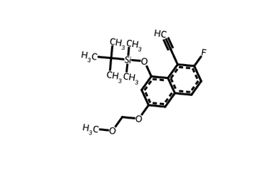 C#Cc1c(F)ccc2cc(OCOC)cc(O[Si](C)(C)C(C)(C)C)c12